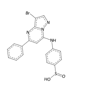 O=S(O)c1ccc(Nc2cc(-c3ccccc3)nc3c(Br)cnn23)cc1